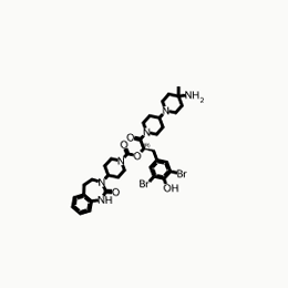 CC1(N)CCN(C2CCN(C(=O)[C@@H](Cc3cc(Br)c(O)c(Br)c3)OC(=O)N3CCC(N4CCc5ccccc5NC4=O)CC3)CC2)CC1